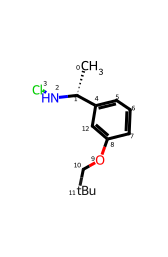 C[C@@H](NCl)c1cccc(OCC(C)(C)C)c1